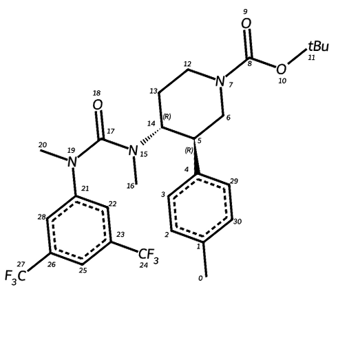 Cc1ccc([C@@H]2CN(C(=O)OC(C)(C)C)CC[C@H]2N(C)C(=O)N(C)c2cc(C(F)(F)F)cc(C(F)(F)F)c2)cc1